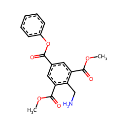 COC(=O)c1cc(C(=O)Oc2ccccc2)cc(C(=O)OC)c1CN